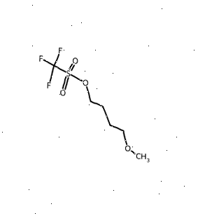 COCCCCOS(=O)(=O)C(F)(F)F